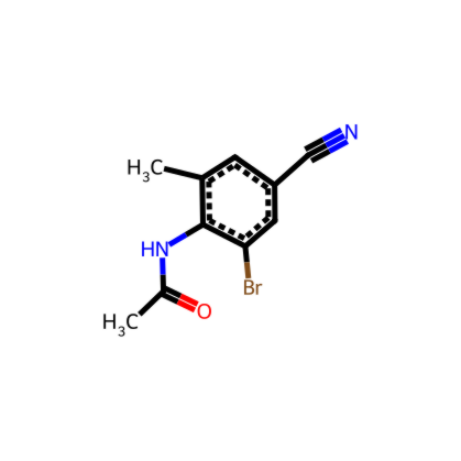 CC(=O)Nc1c(C)cc(C#N)cc1Br